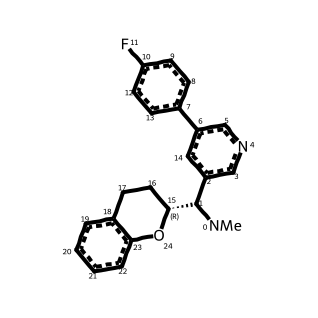 CNC(c1cncc(-c2ccc(F)cc2)c1)[C@H]1CCc2ccccc2O1